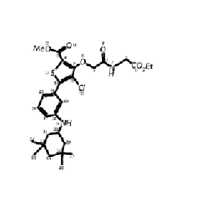 CCOC(=O)CNC(=O)COc1c(C(=O)OC)sc(-c2cccc(NC3CC(C)(C)CC(C)(C)C3)c2)c1Cl